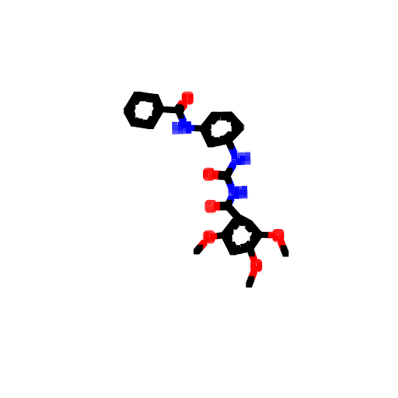 COc1cc(OC)c(C(=O)NC(=O)Nc2cccc(NC(=O)c3ccccc3)c2)cc1OC